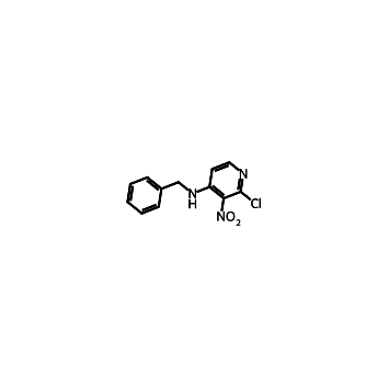 O=[N+]([O-])c1c(NCc2ccccc2)ccnc1Cl